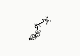 COC(=O)[C@@H](OCc1cccc(NC(=O)CCCCC2SCC3NC(=O)NC32)c1)[C@H](NC(=O)OC(C)(C)C)C(=O)O